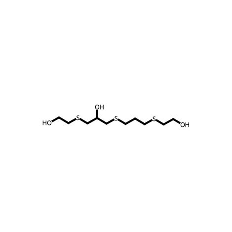 OCCSCCCSCC(O)CSCCO